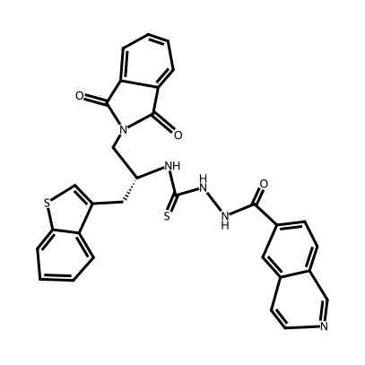 O=C(NNC(=S)N[C@H](Cc1csc2ccccc12)CN1C(=O)c2ccccc2C1=O)c1ccc2cnccc2c1